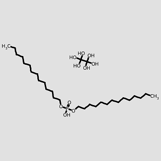 CCCCCCCCCCCCCCOP(=O)(O)OCCCCCCCCCCCCCC.OC(O)(O)C(O)(O)O